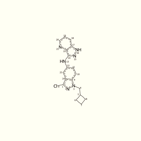 Clc1nn(CC2CCC2)c2ccc(Nc3n[nH]c4cccnc34)cc12